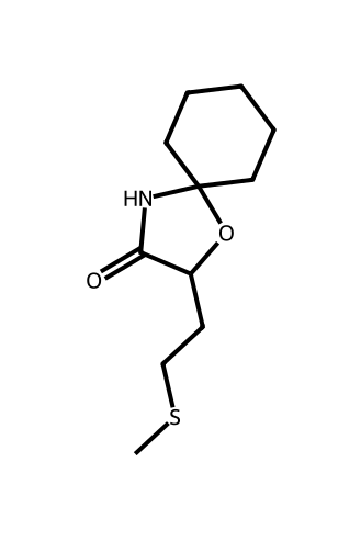 CSCCC1OC2(CCCCC2)NC1=O